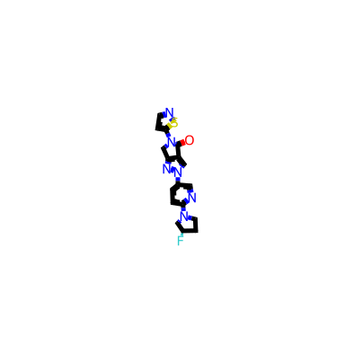 O=C1c2cn(-c3ccc(N4CC[C@@H](F)C4)nc3)nc2CN1c1ccns1